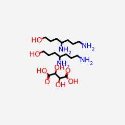 NCCCC(N)CCCO.NCCCC(N)CCCO.O=C(O)C(O)C(O)C(=O)O